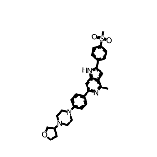 Cc1nc(-c2ccc(N3CCN(C4CCOC4)CC3)cc2)cc2[nH]c(-c3ccc(S(C)(=O)=O)cc3)cc12